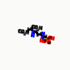 O=C(O)CC(NCCCNCP(=O)(O)O)C(=O)O